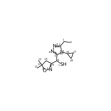 CCc1nnc(C(S)C2=NOC(C)(C)C2)n1C1CC1